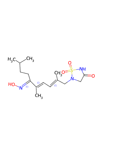 C\C(=C/C=C(C)/C(CCC(C)C)=N/O)CN1CC(=O)NS1(=O)=O